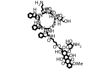 COc1cccc2c1C(=O)c1c(O)c3c(c(O)c1C2=O)C[C@@](O)(C(=O)COC(=O)CCCC(=O)N[C@H](Cc1ccccc1)C(=O)NC1CSSC[C@@H](C(=O)N[C@H](CO)[C@@H](C)O)NC(=O)[C@H]([C@@H](C)O)NC(=O)[C@H](CCCCN)NC(=O)[C@@H](Cc2c[nH]c4ccccc24)NC(=O)[C@H](Cc2ccccc2)NC1=O)C[C@@H]3O[C@H]1C[C@H](N)[C@H](O)[C@H](C)O1